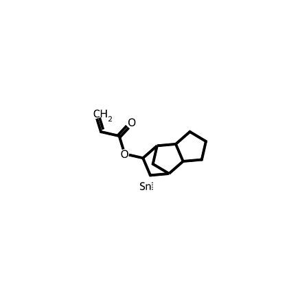 C=CC(=O)OC1CC2CC1C1CCCC21.[Sn]